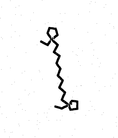 CC[N+]1(CCCCCCCCCC[N+]2(CC)CCCC2)CCCC1